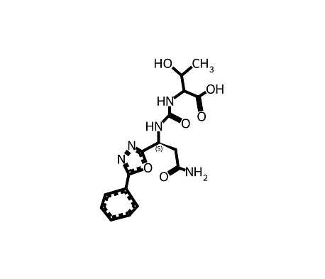 CC(O)C(NC(=O)N[C@@H](CC(N)=O)c1nnc(-c2ccccc2)o1)C(=O)O